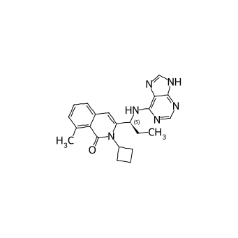 CC[C@H](Nc1ncnc2[nH]cnc12)c1cc2cccc(C)c2c(=O)n1C1CCC1